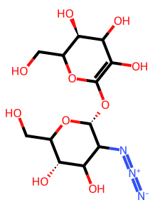 [N-]=[N+]=NC1C(O)[C@H](O)C(CO)O[C@@H]1OC1=C(O)C(O)[C@H](O)C(CO)O1